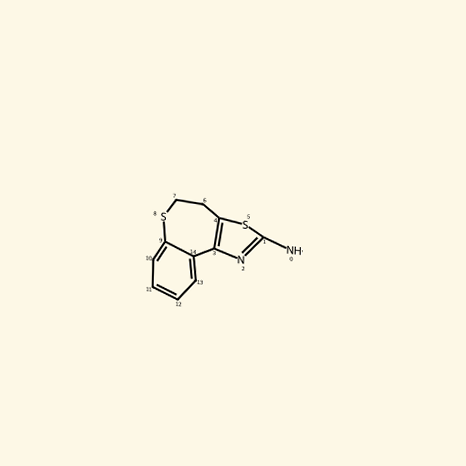 [NH]c1nc2c(s1)CCSc1ccccc1-2